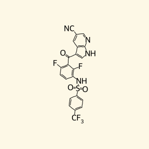 N#Cc1cnc2[nH]cc(C(=O)c3c(F)ccc(NS(=O)(=O)c4ccc(C(F)(F)F)cc4)c3F)c2c1